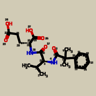 CC(C)[C@H](NC(=O)C(C)(C)c1ccccc1)C(=O)N[C@H](CCC(=O)O)C(=O)O